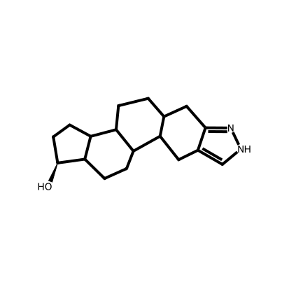 O[C@H]1CCC2C3CCC4Cc5n[nH]cc5CC4C3CCC21